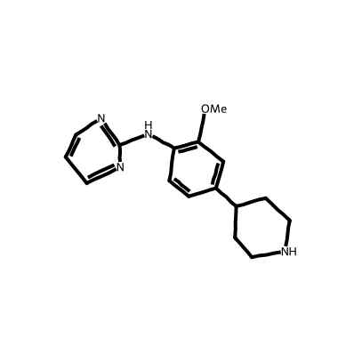 COc1cc(C2CCNCC2)ccc1Nc1ncccn1